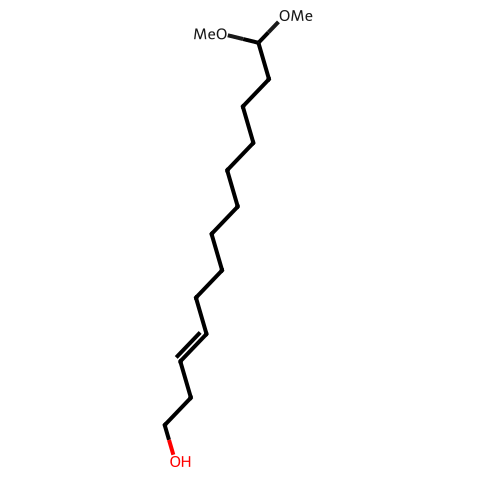 COC(CCCCCCCC/C=C/CCO)OC